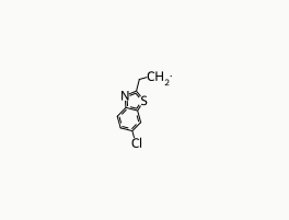 [CH2]Cc1nc2ccc(Cl)cc2s1